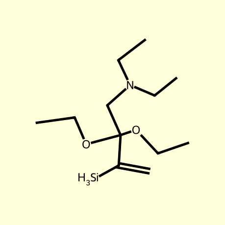 C=C([SiH3])C(CN(CC)CC)(OCC)OCC